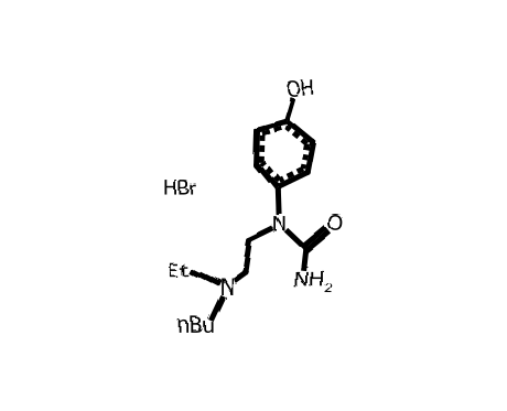 Br.CCCCN(CC)CCN(C(N)=O)c1ccc(O)cc1